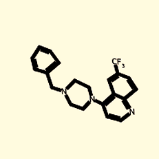 FC(F)(F)c1ccc2nccc(N3CCN(Cc4ccccc4)CC3)c2c1